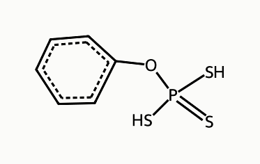 S=P(S)(S)Oc1ccccc1